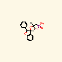 CCC(CC)(CP(=O)(O)O)OC(C)(C(=O)c1ccccc1)c1ccccc1